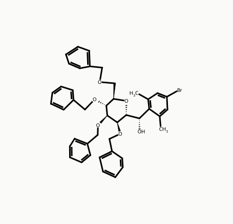 Cc1cc(Br)cc(C)c1[C@H](O)[C@H]1O[C@H](COCc2ccccc2)[C@@H](OCc2ccccc2)[C@H](OCc2ccccc2)[C@@H]1OCc1ccccc1